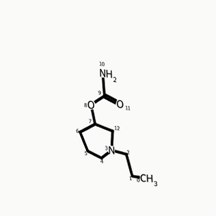 CCCN1CCCC(OC(N)=O)C1